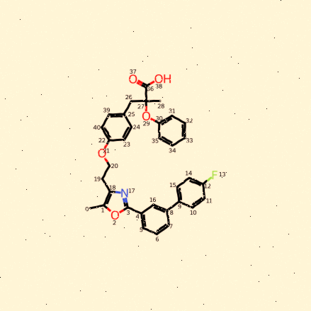 Cc1oc(-c2cccc(-c3ccc(F)cc3)c2)nc1CCOc1ccc(CC(C)(Oc2ccccc2)C(=O)O)cc1